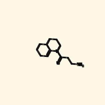 NCCC(=O)N1CCCC2CCCC=C21